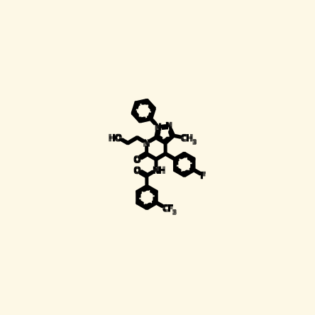 Cc1nn(-c2ccccc2)c2c1C(c1ccc(F)cc1)C(NC(=O)c1cccc(C(F)(F)F)c1)C(=O)N2CCO